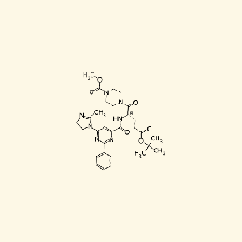 COC(=O)N1CCN(C(=O)[C@H](CCC(=O)OC(C)(C)C)NC(=O)c2cc(N3CCN=C3C)nc(-c3ccccc3)n2)CC1